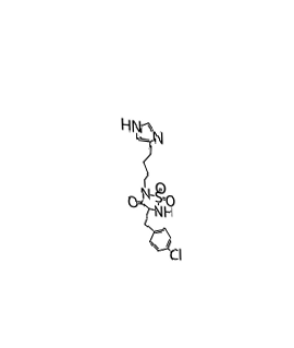 O=C1C(Cc2ccc(Cl)cc2)NS(=O)(=O)N1CCCCc1c[nH]cn1